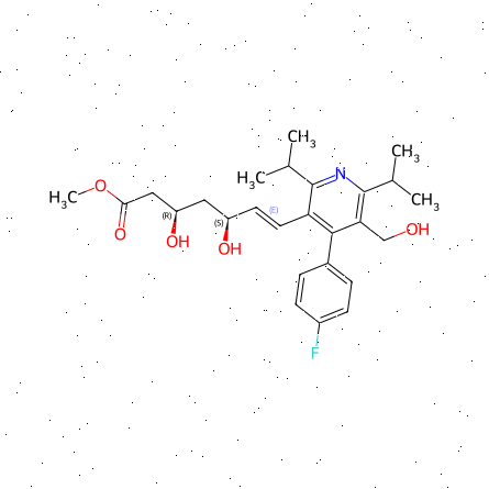 COC(=O)C[C@H](O)C[C@H](O)/C=C/c1c(C(C)C)nc(C(C)C)c(CO)c1-c1ccc(F)cc1